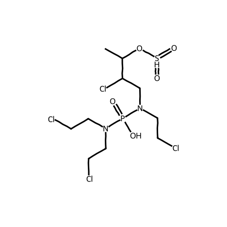 CC(O[SH](=O)=O)C(Cl)CN(CCCl)P(=O)(O)N(CCCl)CCCl